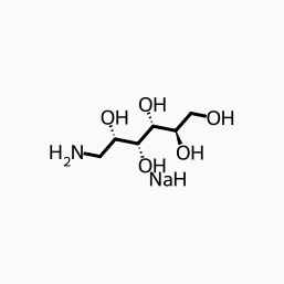 NC[C@H](O)[C@@H](O)[C@H](O)[C@H](O)CO.[NaH]